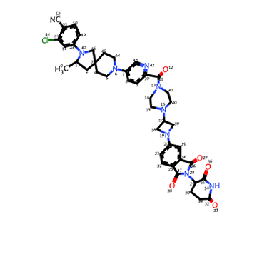 CC1CC2(CCN(c3ccc(C(=O)N4CCN(C5CN(c6ccc7c(c6)C(=O)N(C6CCC(=O)NC6=O)C7=O)C5)CC4)nc3)CC2)CN1c1ccc(C#N)c(Cl)c1